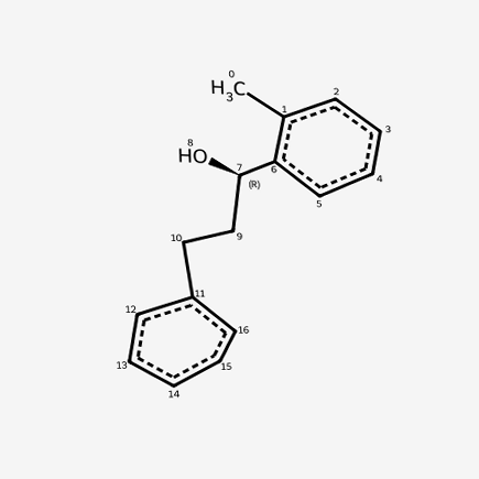 Cc1ccccc1[C@H](O)CCc1ccccc1